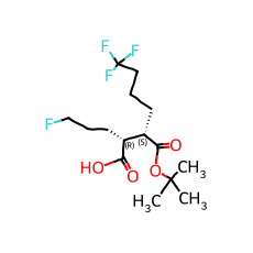 CC(C)(C)OC(=O)[C@@H](CCCC(F)(F)F)[C@@H](CCCF)C(=O)O